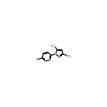 Cc1cc(C)n(-c2ccc(Cl)nn2)n1